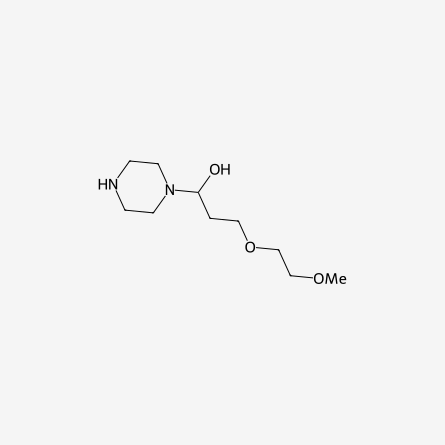 COCCOCCC(O)N1CCNCC1